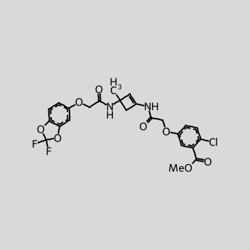 COC(=O)c1cc(OCC(=O)NC2=CC(C)(NC(=O)COc3ccc4c(c3)OC(F)(F)O4)C2)ccc1Cl